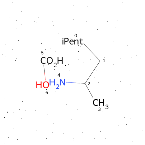 CCCC(C)CC(C)N.O=C(O)O